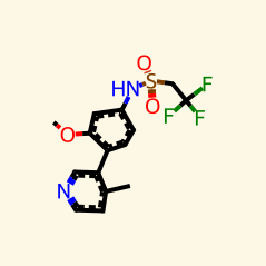 COc1cc(NS(=O)(=O)CC(F)(F)F)ccc1-c1cnccc1C